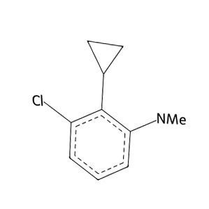 CNc1cccc(Cl)c1C1CC1